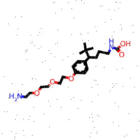 CC(C)(C)C(CCCNC(=O)O)c1ccc(OCCOCCOCCN)cc1